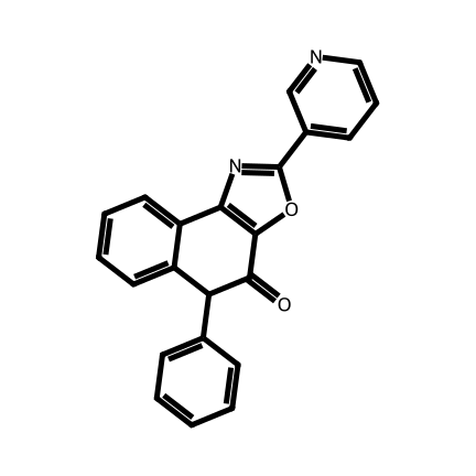 O=C1c2oc(-c3cccnc3)nc2-c2ccccc2C1c1ccccc1